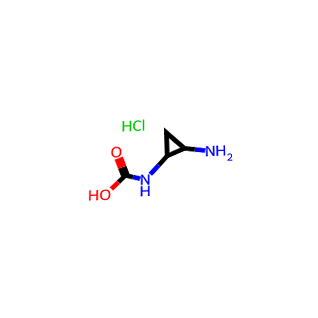 Cl.NC1CC1NC(=O)O